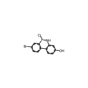 Oc1ccc2c(c1)NP(Cl)c1cc(Br)ccc1-2